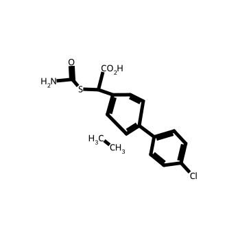 CC.NC(=O)SC(C(=O)O)c1ccc(-c2ccc(Cl)cc2)cc1